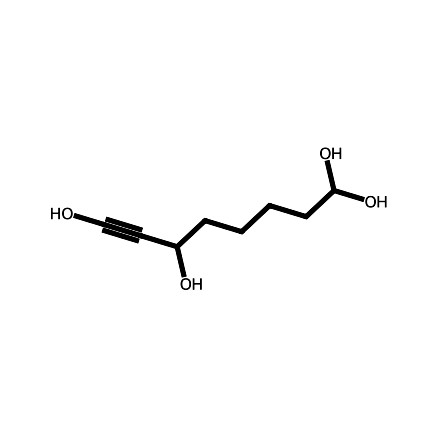 OC#CC(O)CCCCC(O)O